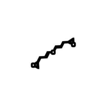 C(=COC=CCC1CO1)CC1CO1